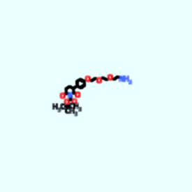 CC(C)(C)OC(=O)N1C(=O)CCC(c2ccc(OCCOCCOCCN)cc2)C1=O